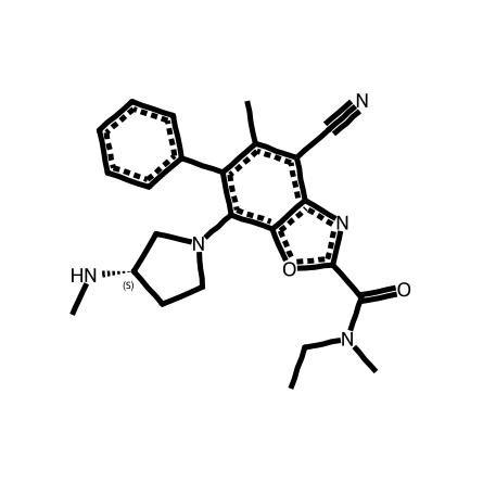 CCN(C)C(=O)c1nc2c(C#N)c(C)c(-c3ccccc3)c(N3CC[C@H](NC)C3)c2o1